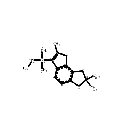 CC1=C([Si](C)(C)NC(C)(C)C)c2ccc3c(c2C1)CC(C)(C)C3